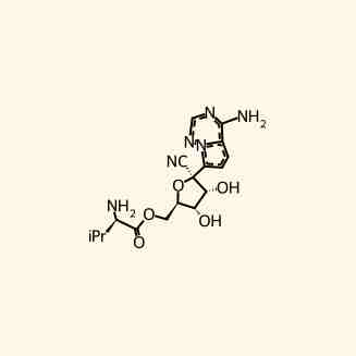 CC(C)[C@@H](N)C(=O)OC[C@H]1O[C@@](C#N)(c2ccc3c(N)ncnn23)[C@H](O)[C@@H]1O